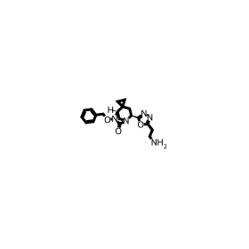 NCCc1nnc([C@@H]2CC3(CC3)[C@H]3CN2C(=O)N3OCc2ccccc2)o1